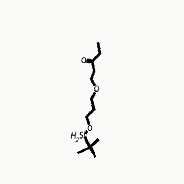 CCC(=O)CCOCCCO[SiH2]C(C)(C)C